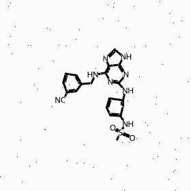 CS(=O)(=O)Nc1cccc(Nc2nc(NCc3cccc(C#N)c3)c3nc[nH]c3n2)c1